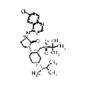 CC(C)N(C)[C@@H]1CC[C@H](N2CC[C@H](Nc3ncnc4ccc(Cl)cc34)C2=O)[C@@H](CS(=O)(=O)C(C)(C)C)C1